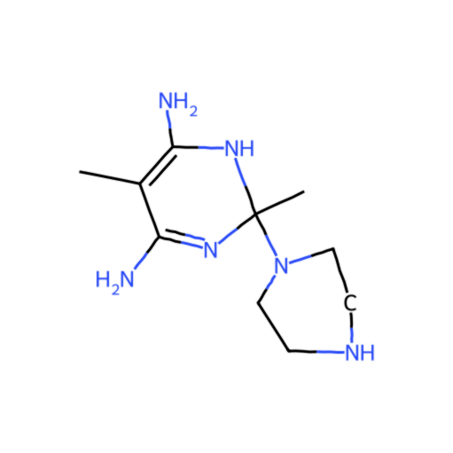 CC1=C(N)NC(C)(N2CCNCC2)N=C1N